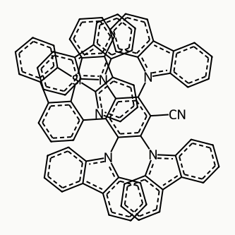 N#Cc1c(-n2c3ccccc3c3ccccc32)c(-n2c3ccccc3c3ccccc32)c(-c2cccc3c2[Si]2(c4ccccc4-c4cccnc42)c2ccccc2-3)c(-n2c3ccccc3c3ccccc32)c1-n1c2ccccc2c2ccccc21